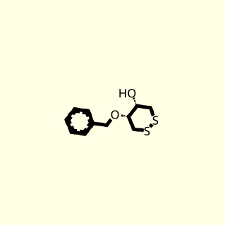 O[C@@H]1CSSC[C@@H]1OCc1ccccc1